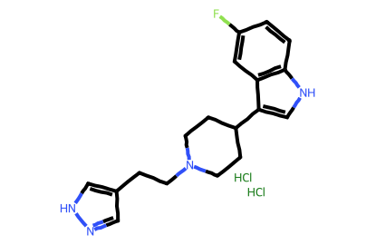 Cl.Cl.Fc1ccc2[nH]cc(C3CCN(CCc4cn[nH]c4)CC3)c2c1